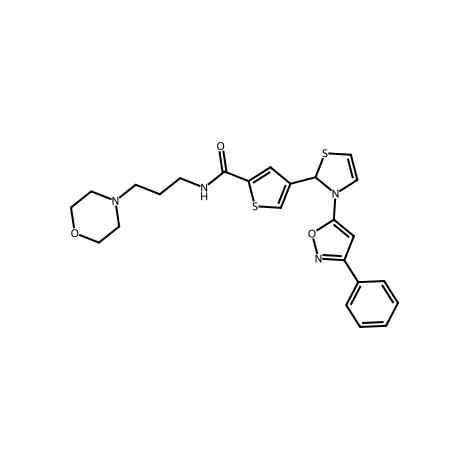 O=C(NCCCN1CCOCC1)c1cc(C2SC=CN2c2cc(-c3ccccc3)no2)cs1